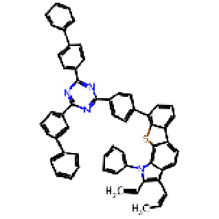 C=Cc1c(/C=C\C)c2ccc3c4cccc(-c5ccc(-c6nc(-c7ccc(-c8ccccc8)cc7)nc(-c7cccc(-c8ccccc8)c7)n6)cc5)c4sc3c2n1-c1ccccc1